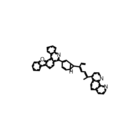 C=C/C(=C\C=C(/C)c1ccnc2c1ccc1cccnc12)C1C2C=C(c3nc4ccccc4c4c3ccc3c5ccccc5oc34)C=C[C@H]21